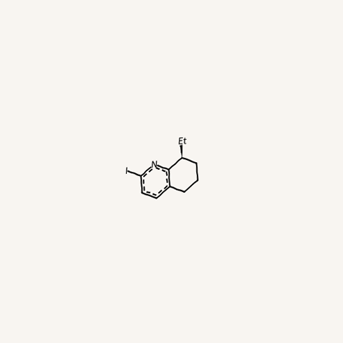 CC[C@H]1CCCc2ccc(I)nc21